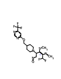 C=N/C(=C(\SC)C(CN=O)N1CCC(COc2cc(C(F)(F)F)ncn2)CC1)C(F)F